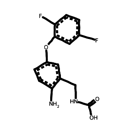 Nc1ccc(Oc2cc(F)ccc2F)cc1CNC(=O)O